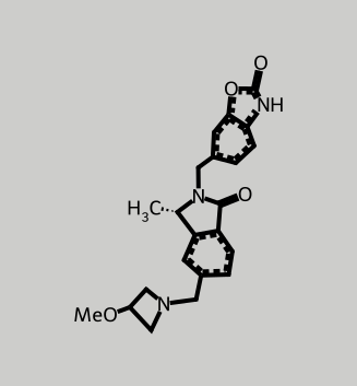 COC1CN(Cc2ccc3c(c2)[C@H](C)N(Cc2ccc4[nH]c(=O)oc4c2)C3=O)C1